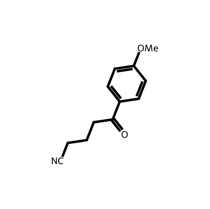 COc1ccc(C(=O)CCCC#N)cc1